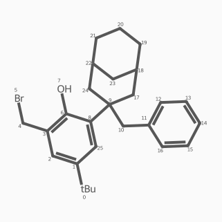 CC(C)(C)c1cc(CBr)c(O)c(C2(Cc3ccccc3)CC3CCCC(C3)C2)c1